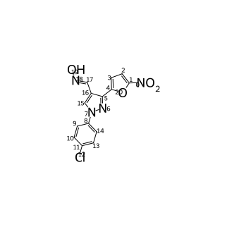 O=[N+]([O-])c1ccc(-c2nn(-c3ccc(Cl)cc3)cc2C=NO)o1